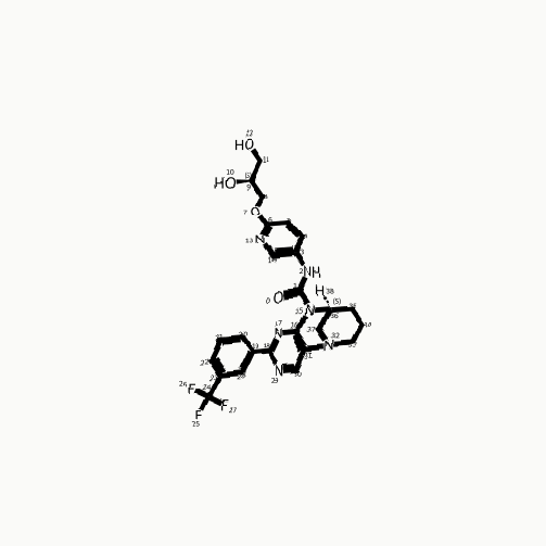 O=C(Nc1ccc(OC[C@@H](O)CO)nc1)N1c2nc(-c3cccc(C(F)(F)F)c3)ncc2N2CCC[C@H]1C2